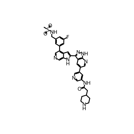 CS(=O)(=O)NCc1cc(F)cc(-c2cncc3[nH]c(-c4n[nH]c5ncc(-c6cncc(NC(=O)CC7CCNCC7)c6)cc45)cc23)c1